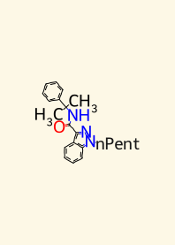 CCCCCn1nc(C(=O)NC(C)(C)c2ccccc2)c2ccccc21